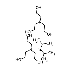 C[CH](C)[Ti][CH](C)C.OCCN(CCO)CCO.OCCN(CCO)CCO